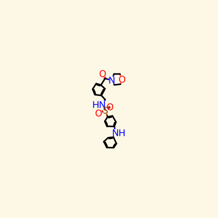 O=C(c1cccc(CNS(=O)(=O)c2ccc(Nc3ccccc3)cc2)c1)N1CCOCC1